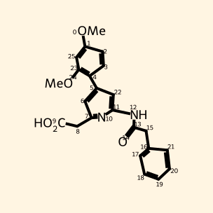 COc1ccc(-c2cc(CC(=O)O)nc(NC(=O)Cc3ccccc3)c2)c(OC)c1